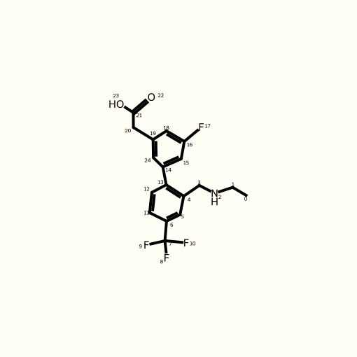 CCNCc1cc(C(F)(F)F)ccc1-c1cc(F)cc(CC(=O)O)c1